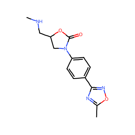 CNCC1CN(c2ccc(-c3noc(C)n3)cc2)C(=O)O1